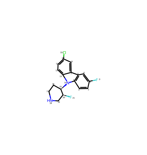 Fc1ccc2c(c1)c1cc(Cl)ccc1n2[C@@H]1CCNC[C@@H]1F